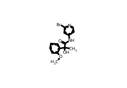 COc1ccccc1C(C)(O)C(=O)Nc1ccnc(Br)c1